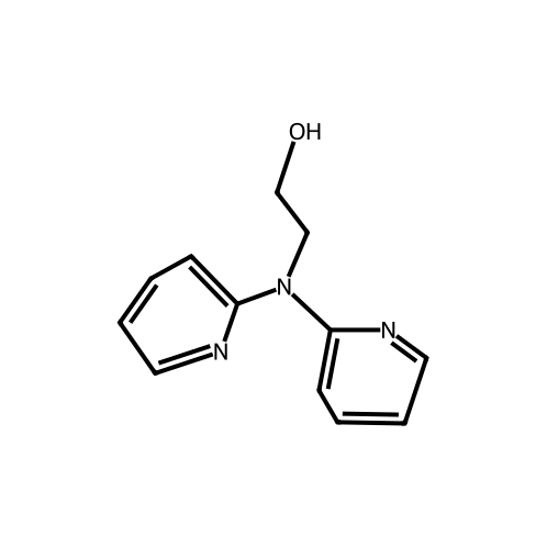 OCCN(c1ccccn1)c1ccccn1